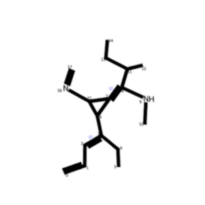 C=C/C=C(\CC)C1/C(=C(\NC)C(C)CC)C1N=C